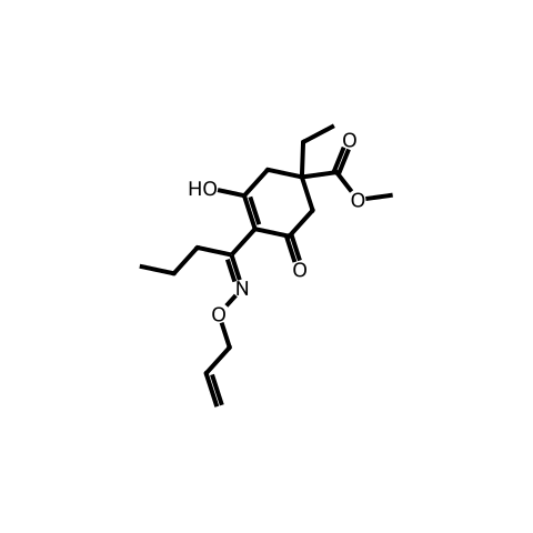 C=CCON=C(CCC)C1=C(O)CC(CC)(C(=O)OC)CC1=O